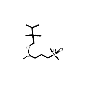 CB(CCC[SH](C)(C)=O)OCC(C)(C)C(C)C